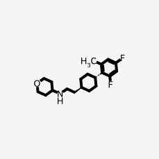 Cc1cc(F)cc(F)c1[C@H]1CC[C@H](CCNC2CCOCC2)CC1